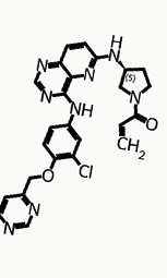 C=CC(=O)N1CC[C@H](Nc2ccc3ncnc(Nc4ccc(OCc5ccncn5)c(Cl)c4)c3n2)C1